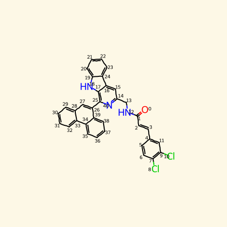 O=C(/C=C/c1ccc(Cl)c(Cl)c1)NCc1cc2c([nH]c3ccccc32)c(-c2cc3ccccc3c3ccccc23)n1